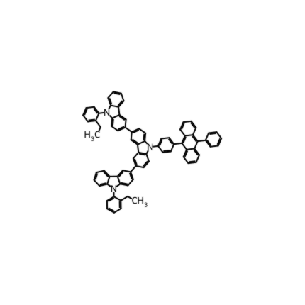 CCc1ccccc1-n1c2ccccc2c2cc(-c3ccc4c(c3)c3cc(-c5ccc6c(c5)c5ccccc5n6-c5ccccc5CC)ccc3n4-c3ccc(-c4c5ccccc5c(-c5ccccc5)c5ccccc45)cc3)ccc21